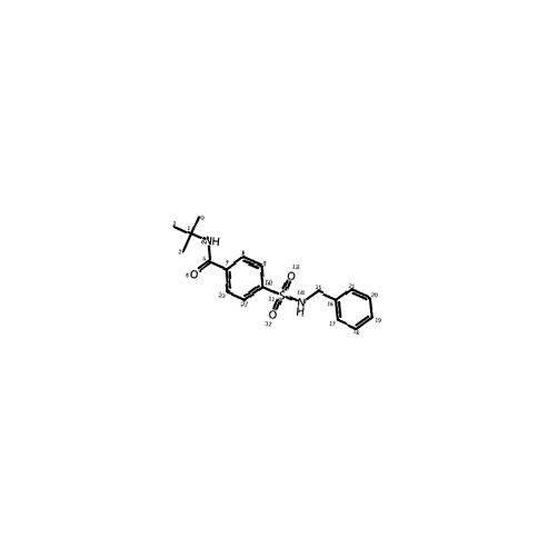 CC(C)(C)NC(=O)c1ccc(S(=O)(=O)NCc2ccccc2)cc1